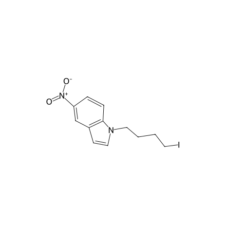 O=[N+]([O-])c1ccc2c(ccn2CCCCI)c1